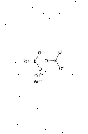 [Cd+2].[O-]B([O-])[O-].[O-]B([O-])[O-].[W+4]